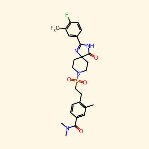 Cc1cc(C(=O)N(C)C)ccc1CCS(=O)(=O)N1CCC2(CC1)N=C(c1ccc(F)c(C(F)(F)F)c1)NC2=O